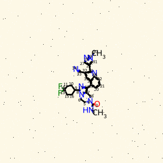 CNC(=O)N1CCn2c(C3CCC(F)(F)CC3)nc(-c3cccc4nc(-c5cnn(C)c5)c(C#N)cc34)c2C1